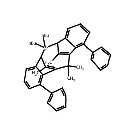 CCC[CH2][Zr]1([CH2]CCC)[CH]2C(C)=C(c3c(-c4ccccc4)cccc32)C(C)(C)C2=C(C)[CH]1c1cccc(-c3ccccc3)c12